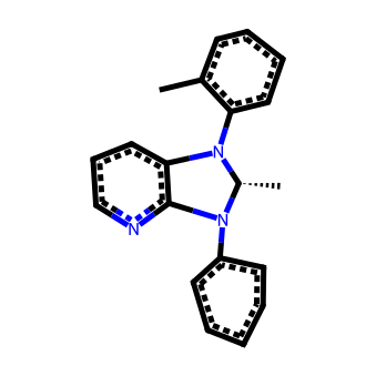 Cc1ccccc1N1c2cccnc2N(c2ccccc2)[C@H]1C